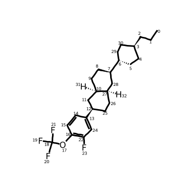 CCC[C@H]1CC[C@H]([C@@H]2CC[C@@H]3C[C@H](c4ccc(OC(F)(F)F)c(F)c4)CC[C@@H]3C2)CC1